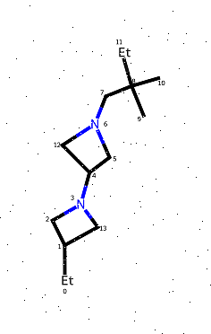 CCC1CN(C2CN(CC(C)(C)CC)C2)C1